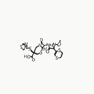 CON=C(C(=O)NC1C(=O)N2CC(CSN3CSC=N3)(C(=O)O)CS[C@H]12)C1=CSCCS1